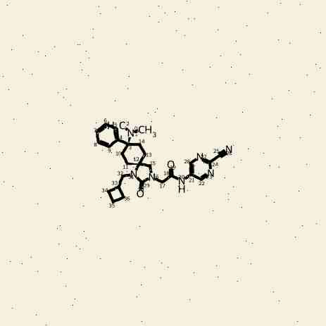 CN(C)[C@]1(c2ccccc2)CC[C@@]2(CC1)CN(CC(=O)Nc1cnc(C#N)nc1)C(=O)N2CC1CCC1